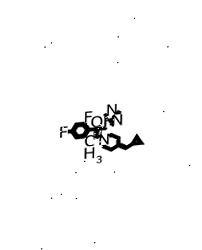 C[C@H](N1CCC(=CC2CC2)CC1)[C@@](O)(Cn1cncn1)c1ccc(F)cc1F